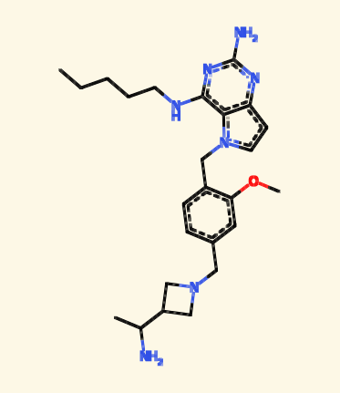 CCCCCNc1nc(N)nc2ccn(Cc3ccc(CN4CC(C(C)N)C4)cc3OC)c12